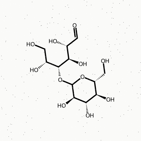 O=C[C@@H](O)[C@@H](O)[C@H](OC1O[C@H](CO)[C@@H](O)[C@H](O)[C@H]1O)[C@H](O)CO